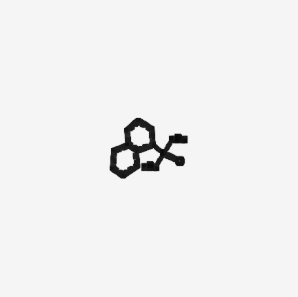 CCCCP(=O)(CCCC)c1cccc2ccccc12